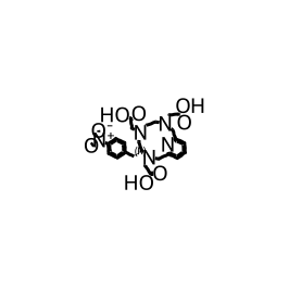 O=C(O)CN1CCN(CC(=O)O)C[C@@H](Cc2ccc([N+](=O)[O-])cc2)N(CC(=O)O)Cc2cccc(n2)C1